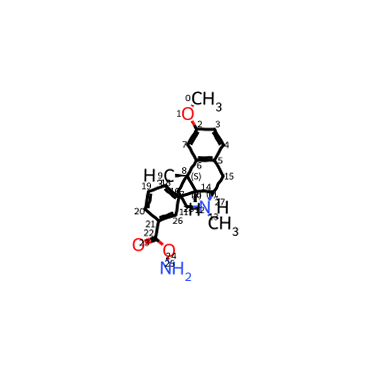 COc1ccc2c(c1)[C@@]1(C)CCN(C)[C@H](C2)[C@@H]1c1cccc(C(=O)ON)c1